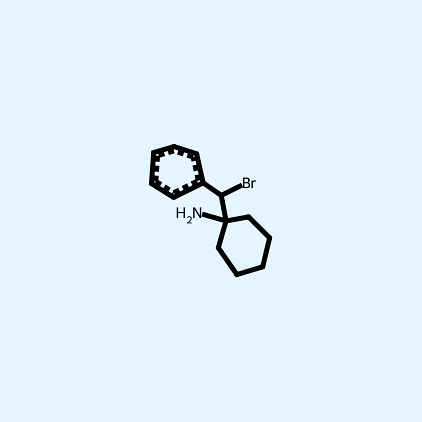 NC1(C(Br)c2ccccc2)CCCCC1